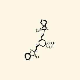 CCN1/C(=C/C=C2C=C(/C=C/c3sc4ccccc4[n+]3CC)CC(S(=O)(=O)O)(S(=O)(=O)O)C/2)Sc2ccccc21